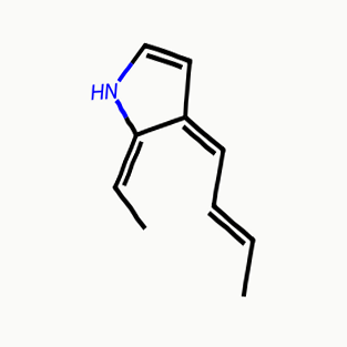 C/C=C/C=c1/cc[nH]/c1=C/C